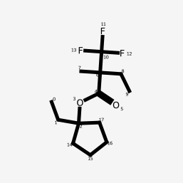 CCC1(OC(=O)C(C)(CC)C(F)(F)F)CCCC1